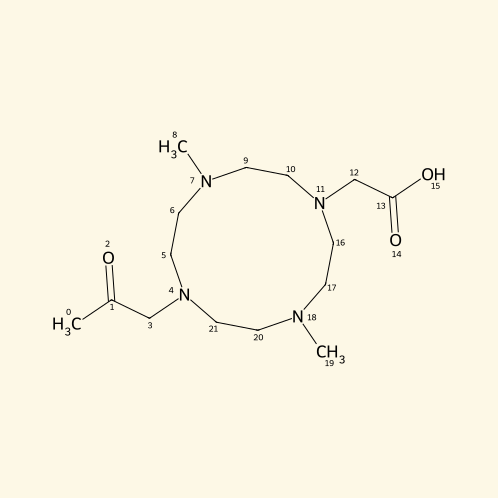 CC(=O)CN1CCN(C)CCN(CC(=O)O)CCN(C)CC1